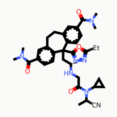 CCc1nnc(C2(C[C@H](C)NCC(=O)N(C(C)C#N)C3CC3)c3ccc(C(=O)N(C)C)cc3CCc3cc(C(=O)N(C)C)ccc32)o1